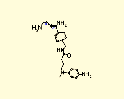 CN(CCCC(=O)NCc1ccc(/C(N)=N/N=C\N)cc1)c1ccc(N)cc1